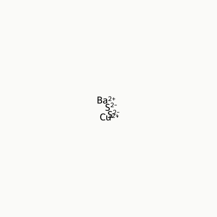 [Ba+2].[Cu+2].[S-2].[S-2]